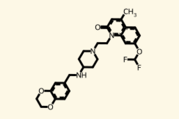 Cc1cc(=O)n(CCN2CCC(NCc3ccc4c(c3)OCCO4)CC2)c2cc(OC(F)F)ccc12